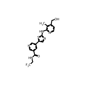 Cc1c(CO)ccnc1Nc1ncc(-c2cncc(C(=O)NCC(F)(F)F)c2)s1